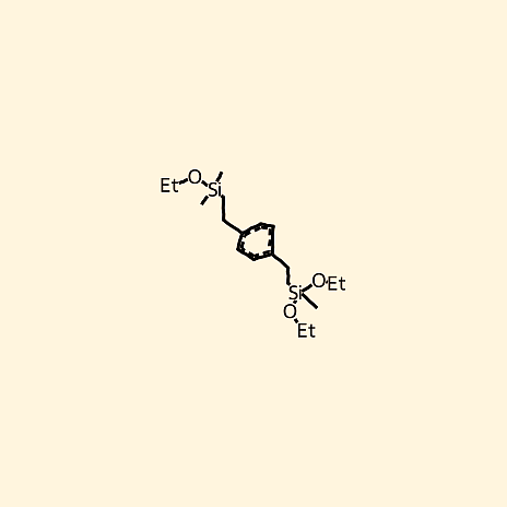 CCO[Si](C)(C)CCc1ccc(CC[Si](C)(OCC)OCC)cc1